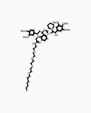 CC[C@H](C(=O)N1CCCC[C@H]1C(=O)O[C@H](CCc1ccc(OC)c(OC)c1)c1ccccc1OCC(=O)NCCOCCOCCOCCOCCCCCCF)c1cc(OC)c(OC)c(OC)c1